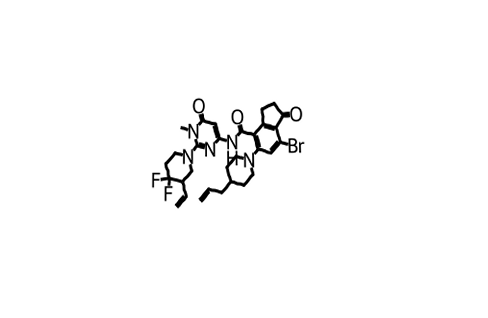 C=CCC1CCN(c2cc(Br)c3c(c2C(=O)Nc2cc(=O)n(C)c(N4CCC(F)(F)C(C=C)C4)n2)CCC3=O)CC1